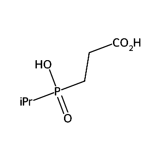 CC(C)P(=O)(O)CCC(=O)O